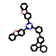 c1cc(-c2ccc3c(c2)-c2ccccc2C32CCCCC2)cc(-c2nc(-c3ccc4c(c3)oc3ccccc34)nc(-c3ccc4c(c3)oc3ccccc34)n2)c1